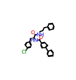 O=C(N[C@@H](Cc1ccc(Cl)cc1)C(=O)NCCCc1ccccc1)c1ccc(-c2ccccc2)cc1